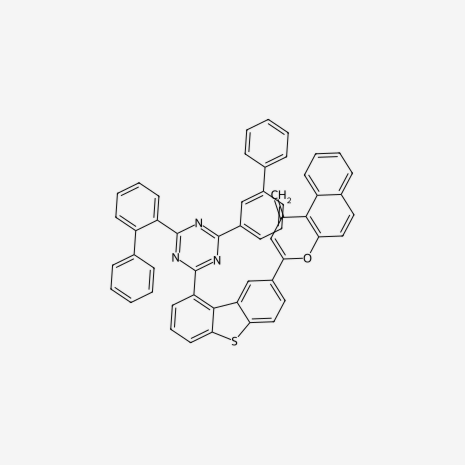 C=C1C=C(c2ccc3sc4cccc(-c5nc(-c6cccc(-c7ccccc7)c6)nc(-c6ccccc6-c6ccccc6)n5)c4c3c2)Oc2ccc3ccccc3c21